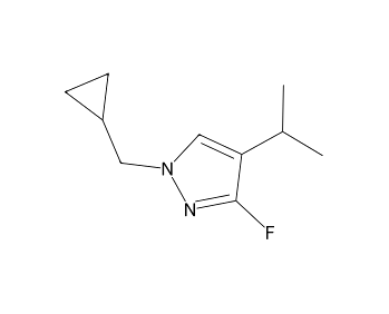 CC(C)c1cn(CC2CC2)nc1F